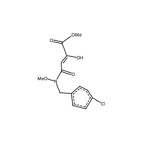 COC(=O)C(O)=CC(=O)N(Cc1ccc(Cl)cc1)OC